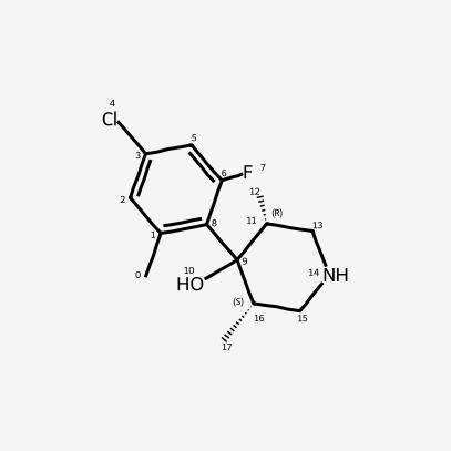 Cc1cc(Cl)cc(F)c1C1(O)[C@H](C)CNC[C@@H]1C